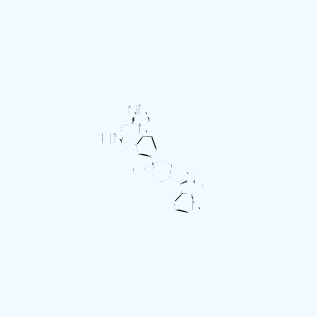 ClC1(c2ccc3c(c2)CNCc2nncn2-3)CCC(c2noc3ncccc23)CC1